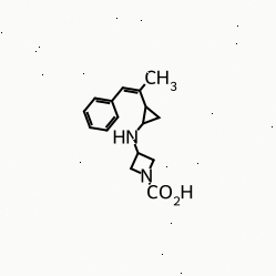 CC(=Cc1ccccc1)C1CC1NC1CN(C(=O)O)C1